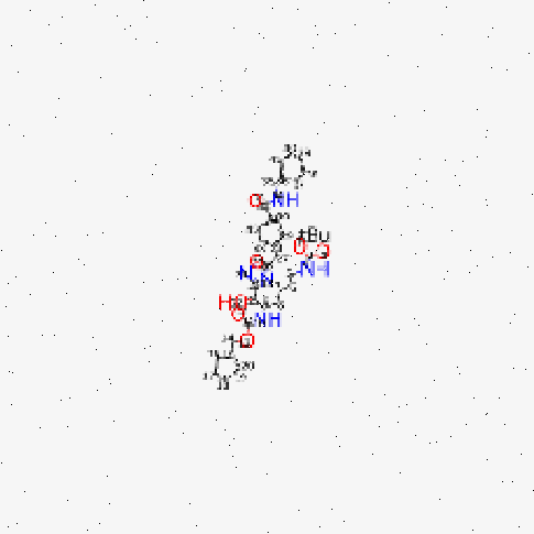 CC(C)(C)OC(=O)NCCCCC(NC(=O)OCc1ccccc1)C(O)c1noc(Cc2ccc(C(=O)NCc3ccccc3)cc2)n1